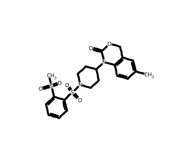 Cc1ccc2c(c1)COC(=O)N2C1CCN(S(=O)(=O)c2ccccc2S(C)(=O)=O)CC1